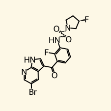 O=C(c1cccc(NS(=O)(=O)N2CC[C@@H](F)C2)c1F)c1c[nH]c2ncc(Br)cc12